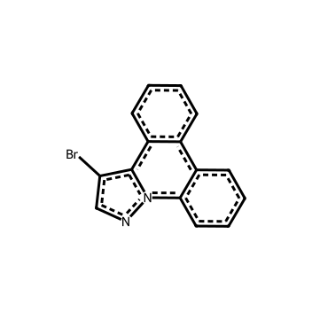 Brc1cnn2c3ccccc3c3ccccc3c12